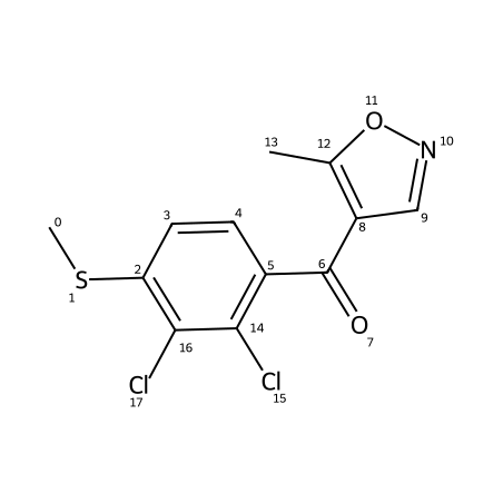 CSc1ccc(C(=O)c2cnoc2C)c(Cl)c1Cl